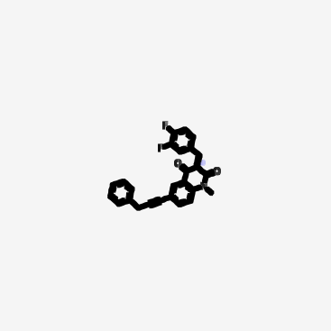 CN1C(=O)/C(=C/c2ccc(F)c(F)c2)C(=O)c2cc(C#CCc3ccccc3)ccc21